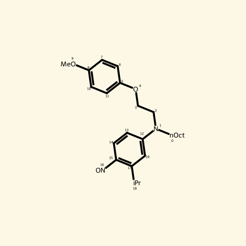 CCCCCCCCN(CCOc1ccc(OC)cc1)c1ccc(N=O)c(C(C)C)c1